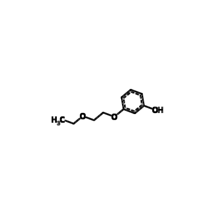 CCOCCOc1cccc(O)c1